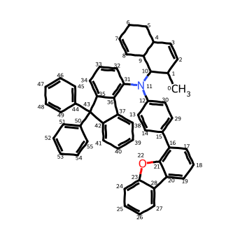 CC1C=CC2CCC=CC2C1N(c1ccc(-c2cccc3c2oc2ccccc23)cc1)c1cccc2c1-c1ccccc1C2(c1ccccc1)c1ccccc1